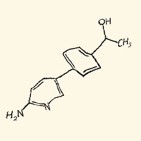 CC(O)c1ccc(-c2ccc(N)nc2)cc1